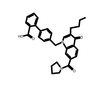 CCCCc1cn(Cc2ccc(-c3ccccc3C(=O)O)cc2)c2cc(C(=O)N3CCCC3)ccc2c1=O